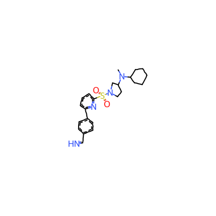 CN(C1CCCCC1)C1CCN(S(=O)(=O)c2cccc(-c3ccc(C=N)cc3)n2)C1